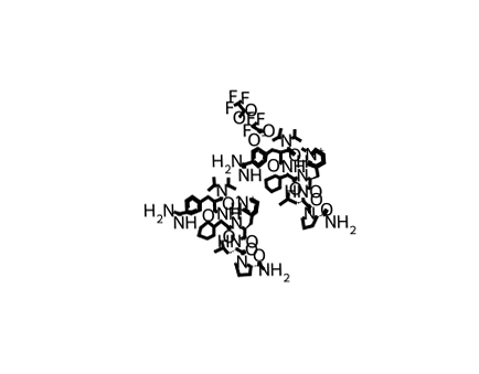 CC(C)C[C@H](NC(=O)[C@H](Cc1ccc[n+](C)c1)NC(=O)[C@@H](NC(=O)C(Cc1ccc(C(=N)N)cc1)C(=O)N(C(C)C)C(C)C)C1CCCCC1)C(=O)N1CCC[C@H]1C(N)=O.CC(C)C[C@H](NC(=O)[C@H](Cc1ccc[n+](C)c1)NC(=O)[C@@H](NC(=O)C(Cc1ccc(C(=N)N)cc1)C(=O)N(C(C)C)C(C)C)C1CCCCC1)C(=O)N1CCC[C@H]1C(N)=O.O=C([O-])C(F)(F)F.O=C([O-])C(F)(F)F